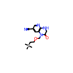 C[Si](C)(C)CCOCN1C(=O)CNc2ncc(C#N)cc21